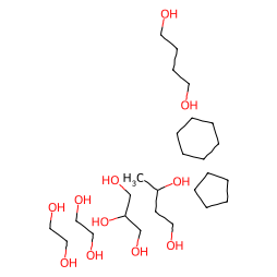 C1CCCC1.C1CCCCC1.CC(O)CCO.OCC(O)CO.OCCCCO.OCCO.OCCO